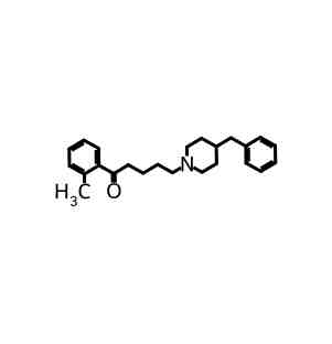 Cc1ccccc1C(=O)CCCCN1CCC(Cc2ccccc2)CC1